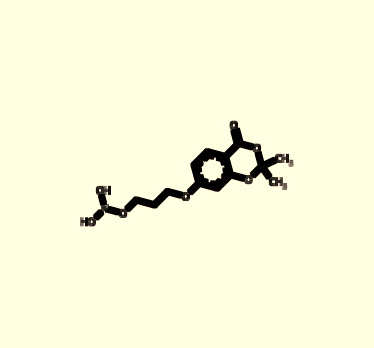 CC1(C)OC(=O)c2ccc(OCCCON(O)O)cc2O1